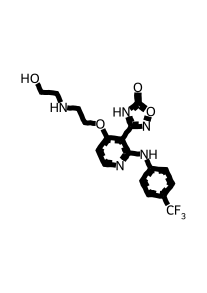 O=c1[nH]c(-c2c(OCCNCCO)ccnc2Nc2ccc(C(F)(F)F)cc2)no1